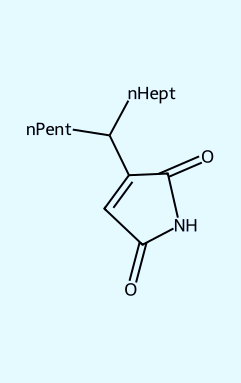 CCCCCCCC(CCCCC)C1=CC(=O)NC1=O